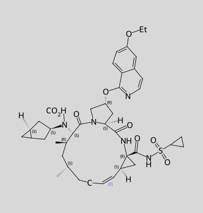 CCOc1ccc2c(O[C@@H]3C[C@H]4C(=O)N[C@]5(C(=O)NS(=O)(=O)C6CC6)C[C@H]5/C=C\CC[C@H](C)C[C@@H](C)[C@H](N(C(=O)O)[C@H]5CC6C[C@H]6C5)C(=O)N4C3)nccc2c1